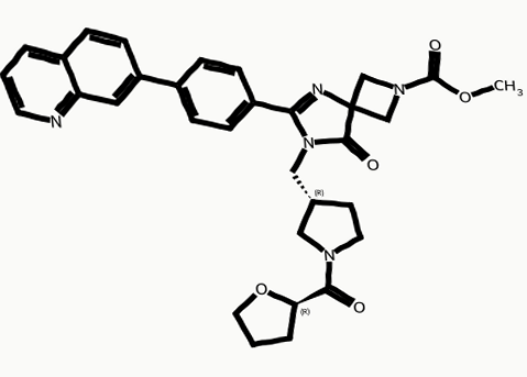 COC(=O)N1CC2(C1)N=C(c1ccc(-c3ccc4cccnc4c3)cc1)N(C[C@@H]1CCN(C(=O)[C@H]3CCCO3)C1)C2=O